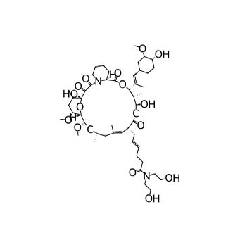 CO[C@H]1C[C@@H](C)C/C(C)=C/[C@@H](C/C=C/CCC(=O)N(CCO)CCO)C(=O)C[C@H](O)[C@@H](C)[C@@H](/C(C)=C/[C@@H]2CC[C@@H](O)[C@H](OC)C2)OC(=O)[C@@H]2CCCCN2C(=O)C(=O)[C@]2(O)O[C@H]1[C@@H](OC)C[C@H]2C